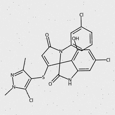 Cc1nn(C)c(Cl)c1SC1=CC(=O)N(c2cccc(Cl)c2)C12C(=O)Nc1cc(Cl)cc(O)c12